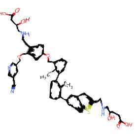 Cc1c(COc2ccc(CNCC(O)CC(=O)O)c(OCc3cncc(C#N)c3)c2)cccc1-c1cccc(-c2ccc3sc(CNCC(O)CC(=O)O)cc3c2)c1C